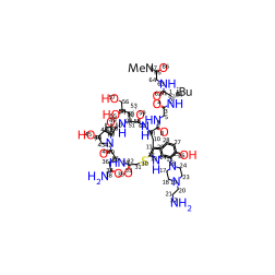 CC[C@H](C)[C@H](NC(=O)CNC(=O)[C@H]1Cc2c([nH]c3c(N4CCN(CCN)CC4)c(O)ccc23)SCC(=O)N[C@@H](CC(N)=O)C(=O)N2C[C@H](O)C[C@H]2C(=O)N[C@@H]([C@@H](C)[C@@H](O)CO)C(=O)N1)C(=O)NCC(=O)NC